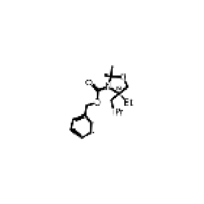 CC[C@]1(CC(C)C)COC(C)(C)N1C(=O)OCC1=CC=C[CH][C]1